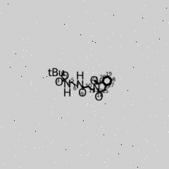 CC(C)(C)OC(=O)NCCNC(=O)CCN1C(=O)Cc2ccccc2C1=O